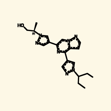 CCC(CC)n1cc(-c2nc(-c3cnn([C@H](C)CO)c3)cn3nccc23)cn1